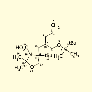 C=CC[C@@H](CO[Si](C)(C)C(C)(C)C)C[C@]1(C(C)(C)C)COC(C)(C)N1C(=O)O